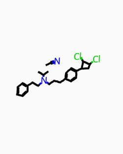 CC#N.CC(C)N(CCCc1ccc(C2CC(Cl)C2Cl)cc1)CCc1ccccc1